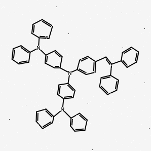 C(=C(c1ccccc1)c1ccccc1)c1ccc(N(c2ccc(N(c3ccccc3)c3ccccc3)cc2)c2ccc(N(c3ccccc3)c3ccccc3)cc2)cc1